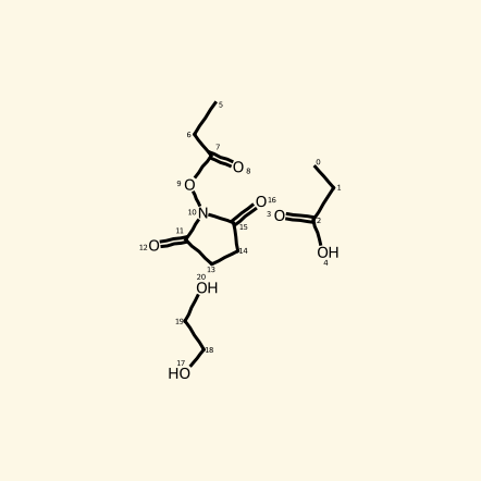 CCC(=O)O.CCC(=O)ON1C(=O)CCC1=O.OCCO